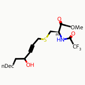 CCCCCCCCCCCC(O)C#CCSC[C@H](NC(=O)C(F)(F)F)C(=O)OC